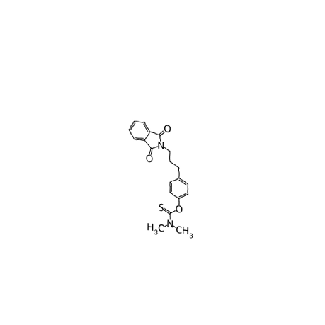 CN(C)C(=S)Oc1ccc(CCCN2C(=O)c3ccccc3C2=O)cc1